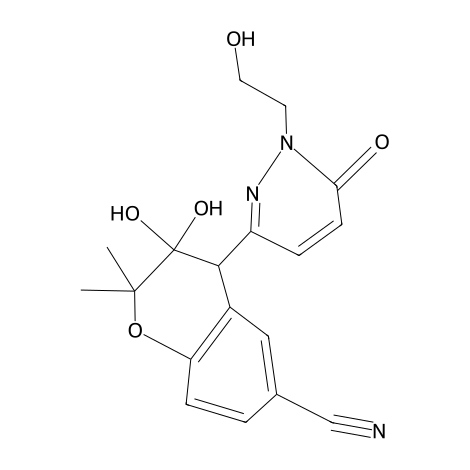 CC1(C)Oc2ccc(C#N)cc2C(c2ccc(=O)n(CCO)n2)C1(O)O